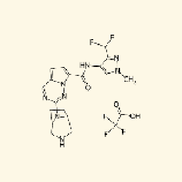 Cn1cc(NC(=O)c2ccc3cnc(N4C5CCC4CNC5)nn23)c(C(F)F)n1.O=C(O)C(F)(F)F